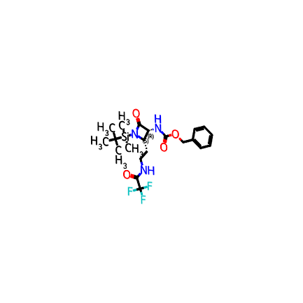 CC(C)(C)[Si](C)(C)N1C(=O)[C@H](NC(=O)OCc2ccccc2)[C@@H]1CCNC(=O)C(F)(F)F